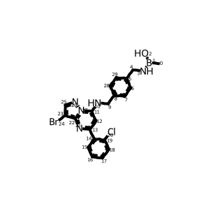 CB(O)NCc1ccc(CNc2cc(-c3ccccc3Cl)nc3c(Br)cnn23)cc1